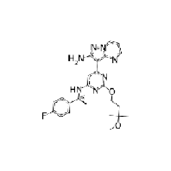 COC(C)(C)CCOc1nc(N[C@@H](C)c2ccc(F)cc2)cc(-c2c(N)nn3cccnc23)n1